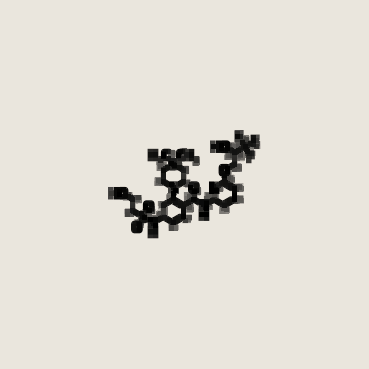 C[Si]1(C)CCN(c2cc(NS(=O)(=O)CCO)ccc2C(=O)Nc2cccc(OC[C@@H](O)C(F)(F)F)n2)CC1